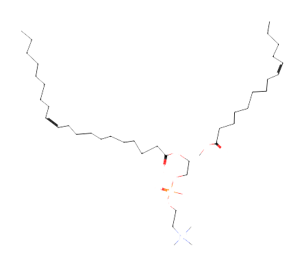 CCCC/C=C\CCCCCCCC(=O)OC[C@H](COP(=O)([O-])OCC[N+](C)(C)C)OC(=O)CCCCCCCCC/C=C\CCCCCCCC